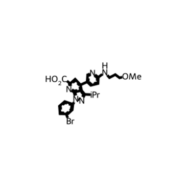 COCCCNc1ccc(-c2cc(C(=O)O)nc3c2c(C(C)C)nn3-c2cccc(Br)c2)cn1